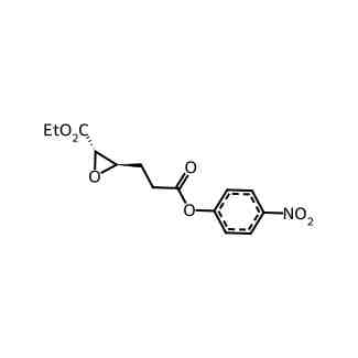 CCOC(=O)[C@H]1O[C@@H]1CCC(=O)Oc1ccc([N+](=O)[O-])cc1